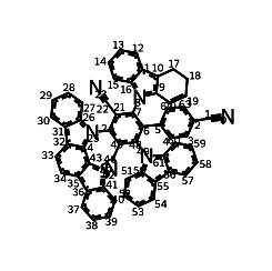 N#Cc1ccc(-c2c(-n3c4c(c5ccccc53)CCC=C4)c(C#N)c(-n3c4ccccc4c4ccc5c6ccccc6sc5c43)c(C#N)c2-n2c3ccccc3c3ccccc32)cc1